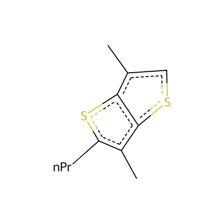 CCCc1sc2c(C)csc2c1C